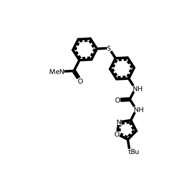 CNC(=O)c1cccc(Sc2ccc(NC(=O)Nc3cc(C(C)(C)C)on3)cc2)c1